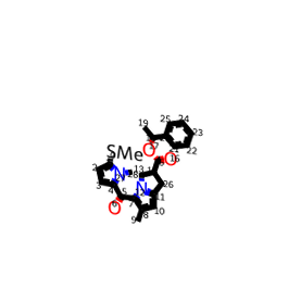 CSc1ccc(C(=O)c2c(C)cc3n2CC(C(=O)OC(C)c2ccccc2)C3)n1C